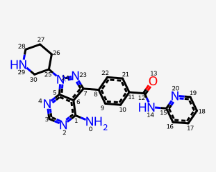 Nc1ncnc2c1c(-c1ccc(C(=O)Nc3ccccn3)cc1)nn2C1CCCNC1